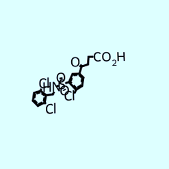 O=C(O)CCC(=O)c1ccc(Cl)c(S(=O)(=O)NCc2c(Cl)cccc2Cl)c1